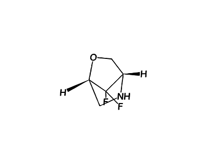 FC1(F)[C@@H]2CO[C@H]1CN2